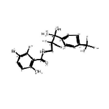 Cc1ccc(Br)c(F)c1C(=O)NCC(F)(F)C(C)(O)c1ccc(C(F)(F)F)cc1